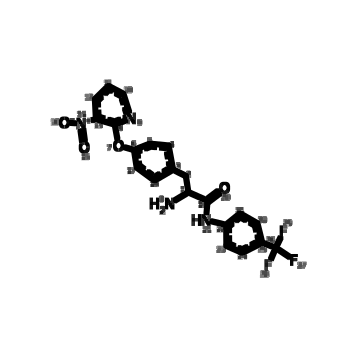 NC(Cc1ccc(Oc2ncccc2[N+](=O)[O-])cc1)C(=O)Nc1ccc(C(F)(F)F)cc1